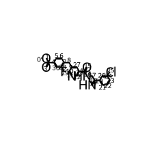 COC(=O)c1ccc(Cc2cncc(C(=O)NCC(=N)c3cccc(Cl)c3)c2)c(F)c1